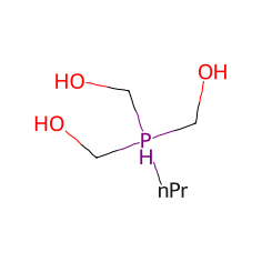 CCC[PH](CO)(CO)CO